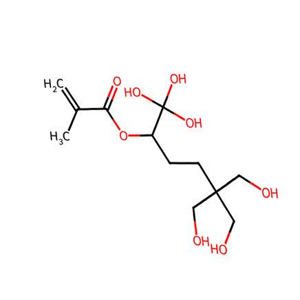 C=C(C)C(=O)OC(CCC(CO)(CO)CO)C(O)(O)O